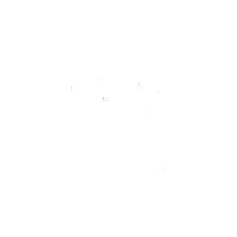 CCS(=O)(=O)NC1CCCN(C(C)=O)C1COC1CCC(C(C)(C)C)CC1